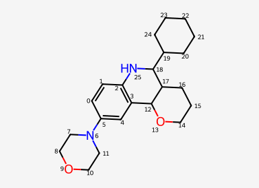 c1cc2c(cc1N1CCOCC1)C1OCCCC1C(C1CCCCC1)N2